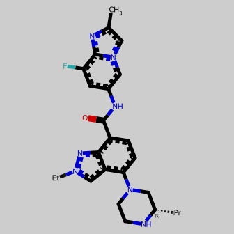 CCn1cc2c(N3CCN[C@@H](C(C)C)C3)ccc(C(=O)Nc3cc(F)c4nc(C)cn4c3)c2n1